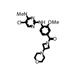 CNc1nc(Nc2ccc(C(=O)N3CC(N4CCOCC4)C3)cc2OC)ncc1Cl